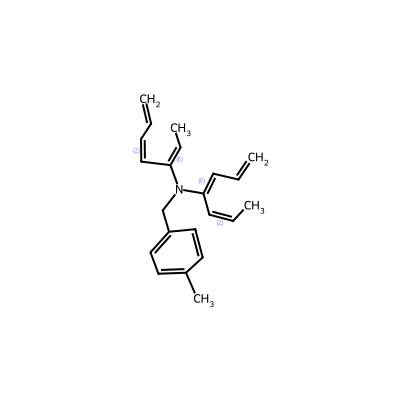 C=C/C=C\C(=C/C)N(Cc1ccc(C)cc1)C(/C=C\C)=C/C=C